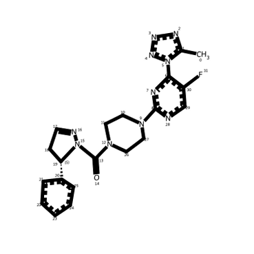 Cc1nnnn1-c1nc(N2CCN(C(=O)N3N=CC[C@H]3c3ccccc3)CC2)ncc1F